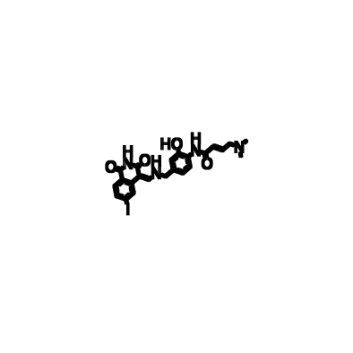 CN(C)C/C=C/C(=O)Nc1ccc(CNC=C2C(=O)NC(=O)c3ccc(I)cc32)cc1O